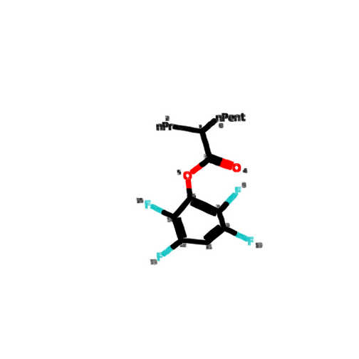 CCCCCC(CCC)C(=O)Oc1c(F)c(F)cc(F)c1F